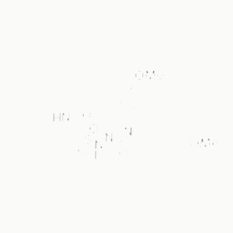 COc1ccc(CCN2C(=O)N(NS(=O)(=O)CC(=O)NCC3CC3)C[C@@H]2c2ccc(OC)cc2)cc1